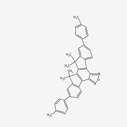 Cc1ccc(-c2ccc3c(c2)C(C)(C)c2c4c(c5nonc5c2-3)-c2ccc(-c3ccc(C)cc3)cc2C4(C)C)cc1